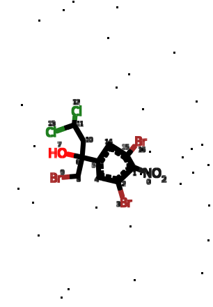 O=[N+]([O-])c1c(Br)cc(C(O)(CBr)CC(Cl)Cl)cc1Br